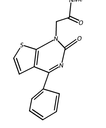 CNC(=O)Cn1c(=O)nc(-c2ccccc2)c2ccsc21